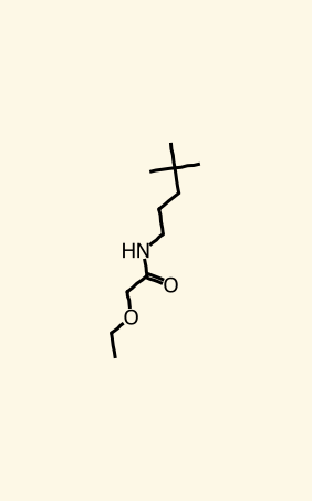 CCOCC(=O)NCCCC(C)(C)C